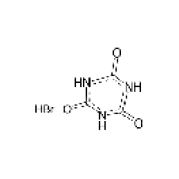 Br.O=c1[nH]c(=O)[nH]c(=O)[nH]1